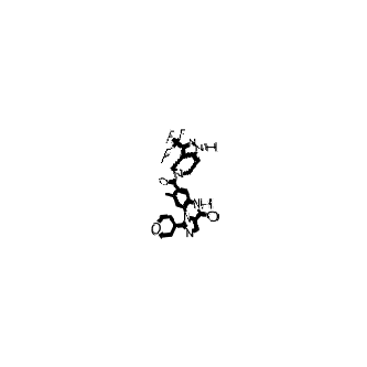 Cc1cc2c(cc1C(=O)N1CCc3[nH]nc(C(F)(F)F)c3C1)[nH]c(=O)c1cnc(C3CCOCC3)n12